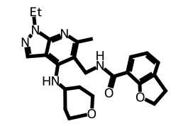 CCn1ncc2c(NC3CCOCC3)c(CNC(=O)c3cccc4c3OCC4)c(C)nc21